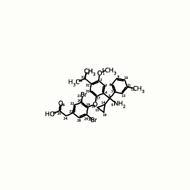 COc1cc(C(N)(c2cccc(C)c2)C2CC2)c(Oc2c(Br)cc(CC(=O)O)cc2Br)cc1C(C)C